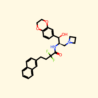 O=C(N[C@H](CN1CCC1)[C@H](O)c1ccc2c(c1)OCCO2)C(F)(F)CCc1ccc2ccccc2c1